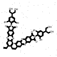 C=Cc1cc2nc3cc4c(cc3nc2cc1/C=C\c1cc2nc3cc5c(cc3nc2cc1C)C(=O)N(c1c(C(C)C)cc(C(CO)CO)cc1C(C)C)C5=O)C(=O)N(c1c(C(C)C)cc(C(CO)CO)cc1C(C)C)C4=O